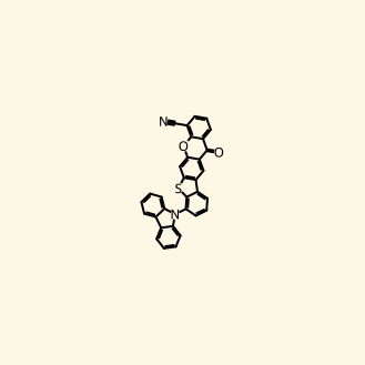 N#Cc1cccc2c(=O)c3cc4c(cc3oc12)sc1c(-n2c3ccccc3c3ccccc32)cccc14